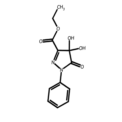 CCOC(=O)C1=NN(c2ccccc2)C(=O)C1(O)O